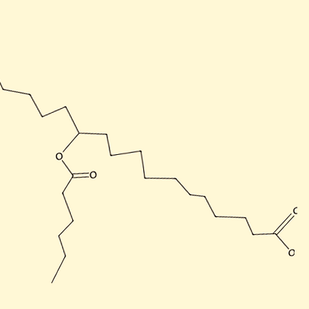 CCCCCCC(CCCCCCCCCCC(=O)O)OC(=O)CCCCC